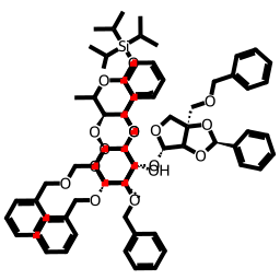 CC1O[C@@H](O[Si](C(C)C)(C(C)C)C(C)C)[C@@H](C)C(O[C@@H]2OC(COCc3ccccc3)[C@@H](OCc3ccccc3)C(OCc3ccccc3)[C@H]2O)[C@H]1O[C@@H]1OC[C@@H](C)[C@@H](O[C@@H]2OC[C@@]3(COCc4ccccc4)O[C@@H](c4ccccc4)OC23)C1OCc1ccccc1